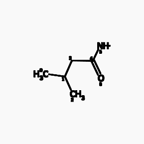 CC(C)CC([NH])=O